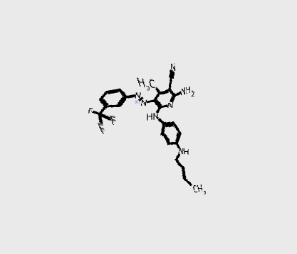 CCCCNc1ccc(Nc2nc(N)c(C#N)c(C)c2/N=N/c2cccc(C(F)(F)F)c2)cc1